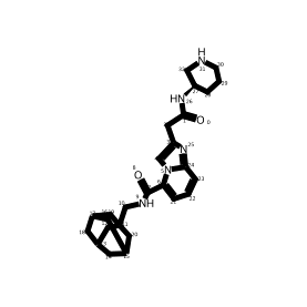 O=C(Cc1cn2c(C(=O)NCC34CC5CC(CC(C5)C3)C4)cccc2n1)N[C@@H]1CCCNC1